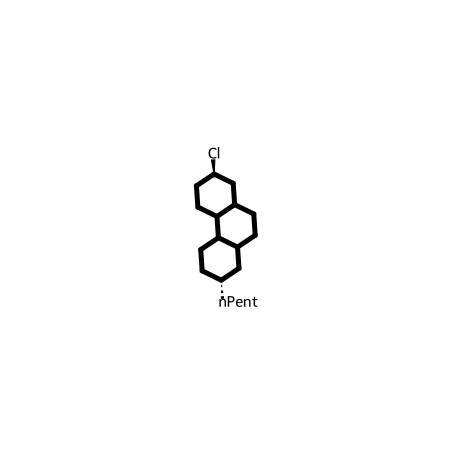 CCCCC[C@@H]1CCC2C(CCC3C[C@H](Cl)CCC32)C1